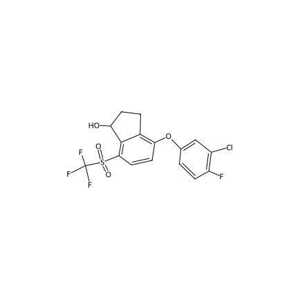 O=S(=O)(c1ccc(Oc2ccc(F)c(Cl)c2)c2c1C(O)CC2)C(F)(F)F